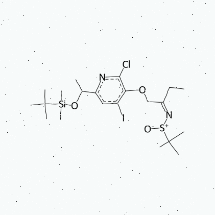 CC/C(COc1c(I)cc(C(C)O[Si](C)(C)C(C)(C)C)nc1Cl)=N/[S+]([O-])C(C)(C)C